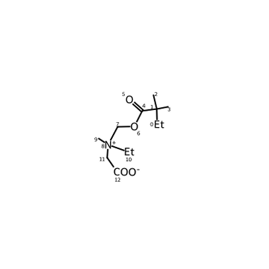 CCC(C)(C)C(=O)OC[N+](C)(CC)CC(=O)[O-]